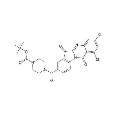 CC(C)(C)OC(=O)N1CCN(C(=O)c2ccc3c(c2)C(=O)c2nc4cc(Cl)cc(Cl)c4c(=O)n2-3)CC1